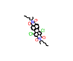 CCCCCC(CC)N1C(=O)c2ccc3c4c(Cl)cc5c6c(cc(Cl)c(c7ccc(c2c37)C1=O)c64)C(=O)N(C(CC)CCCCC)C5=O